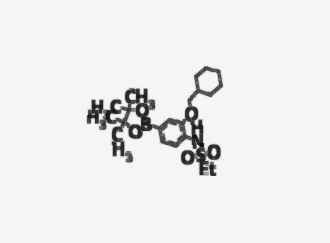 CCS(=O)(=O)Nc1ccc(B2OC(C)(C)C(C)(C)O2)cc1OCC1CCCCC1